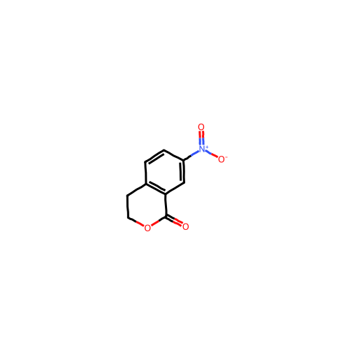 O=C1OCCc2ccc([N+](=O)[O-])cc21